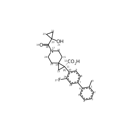 Cc1ccccc1-c1ccc([C@@]2(C(=O)O)CC23CCN(C(=O)C2(O)CC2)CC3)c(F)c1